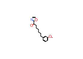 COc1cccc(CCCCCCC(=O)c2ncco2)c1